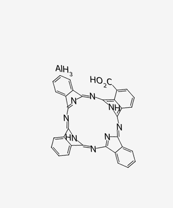 O=C(O)c1cccc2c3nc4nc(nc5[nH]c(nc6nc(nc([nH]3)c12)-c1ccccc1-6)c1ccccc51)-c1ccccc1-4.[AlH3]